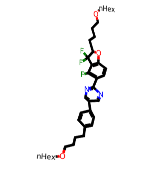 CCCCCCOCCCCc1ccc(-c2cnc(-c3ccc4c(c3F)C(F)(F)C(CCCCOCCCCCC)O4)nc2)cc1